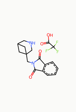 O=C(O)C(F)(F)F.O=C1c2ccccc2C(=O)N1CC12CNCC(C1)C2